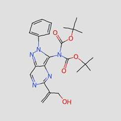 C=C(CO)c1ncc2nn(-c3ccccc3)c(N(C(=O)OC(C)(C)C)C(=O)OC(C)(C)C)c2n1